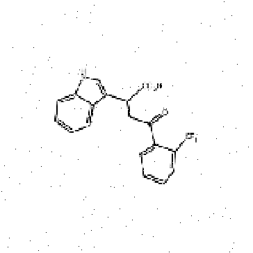 O=C(CC(C(=O)O)c1c[nH]c2ccccc12)c1ccccc1C(F)(F)F